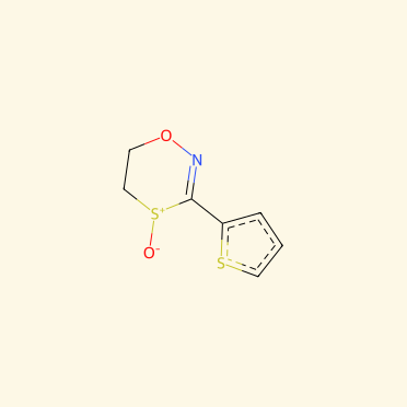 [O-][S+]1CCON=C1c1cccs1